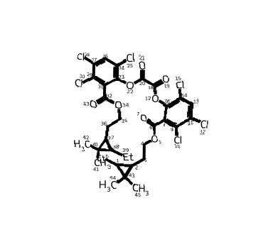 CCC1C(CCOC(=O)c2c(Cl)c(Cl)cc(Cl)c2OC(=O)C(=O)Oc2c(Cl)cc(Cl)c(Cl)c2C(=O)OCCC2C(CC)C2(C)C)C1(C)C